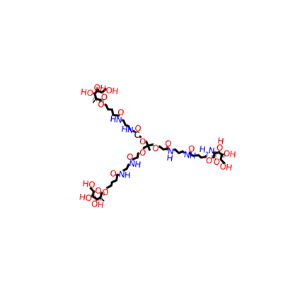 C[C@H]1C(O)[C@@H](O)C(CO)O[C@H]1OCCCCC(=O)NCCCNC(=O)CCOCC(C)(COCCC(=O)NCCCNC(=O)CCCCO[C@@H]1OC(CO)[C@H](O)C(O)[C@@H]1C)COCCC(=O)NCCCNC(=O)CCCCO[C@@H]1OC(CO)[C@H](O)C(O)[C@@H]1N